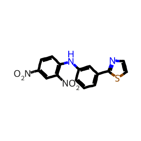 O=[N+]([O-])c1ccc(Nc2cccc(-c3nccs3)c2)c([N+](=O)[O-])c1